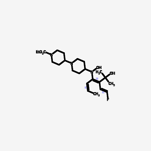 C\C=C/C(=C(\C=C\F)C(C)(C)O)N(O)C1CCN(C2CCN(C(=O)OCC)CC2)CC1